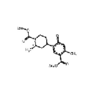 COC(=O)c1cn(C2CCN(C(=O)OC(C)(C)C)[C@H](C)C2)c(=O)cc1C